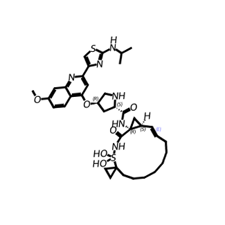 COc1ccc2c(O[C@H]3CN[C@H](C(=O)N[C@]45C[C@H]4/C=C/CCCCCCCC4(CC4)S(O)(O)NC5=O)C3)cc(-c3csc(NC(C)C)n3)nc2c1